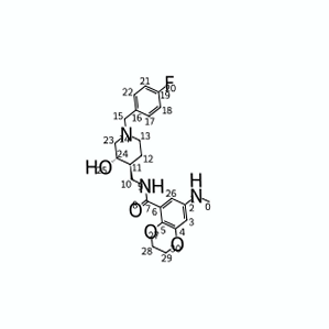 CNc1cc2c(c(C(=O)NC[C@@H]3CCN(Cc4ccc(F)cc4)C[C@H]3O)c1)OCCO2